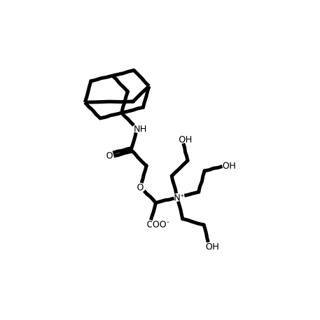 O=C(COC(C(=O)[O-])[N+](CCO)(CCO)CCO)NC12CC3CC(CC(C3)C1)C2